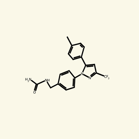 Cc1ccc(-c2cc(C(F)(F)F)nn2-c2ccc(CNC(N)=O)cc2)cc1